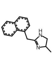 CC1CNC(Cc2cccc3ccccc23)=N1